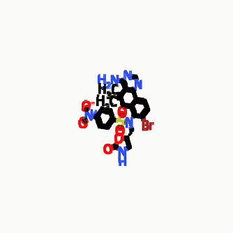 CC1(C)Cc2c(ccc(Br)c2N(C[C@@H]2CNC(=O)O2)S(=O)(=O)c2ccc([N+](=O)[O-])cc2)-c2ncnc(N)c21